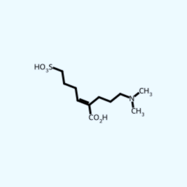 CN(C)CCCC(=CCCCS(=O)(=O)O)C(=O)O